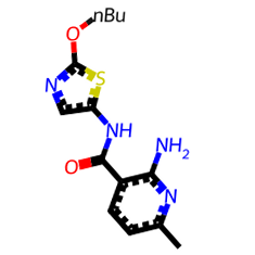 CCCCOc1ncc(NC(=O)c2ccc(C)nc2N)s1